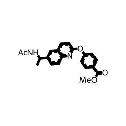 COC(=O)c1ccc(Oc2ccc3cc(C(C)NC(C)=O)ccc3n2)cc1